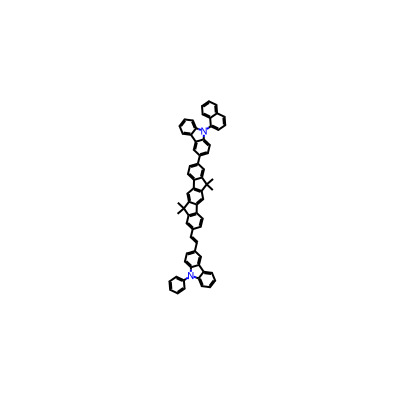 CC1(C)c2cc(/C=C/c3ccc4c(c3)c3ccccc3n4-c3ccccc3)ccc2-c2cc3c(cc21)-c1ccc(-c2ccc4c(c2)c2ccccc2n4-c2cccc4ccccc24)cc1C3(C)C